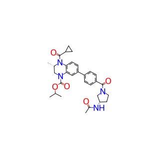 CC(=O)N[C@H]1CCN(C(=O)c2ccc(-c3ccc4c(c3)N(C(=O)OC(C)C)C[C@H](C)N4C(=O)C3CC3)cc2)C1